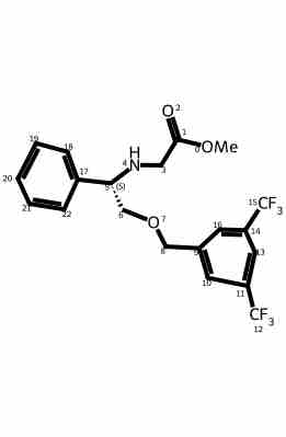 COC(=O)CN[C@H](COCc1cc(C(F)(F)F)cc(C(F)(F)F)c1)c1ccccc1